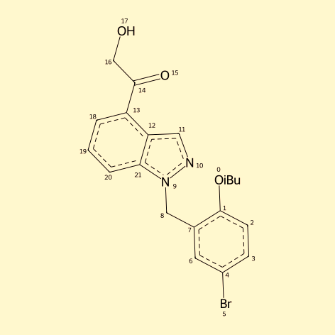 CC(C)COc1ccc(Br)cc1Cn1ncc2c(C(=O)CO)cccc21